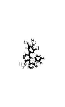 Nc1ncc(-c2cc(Cl)c(N)c(Cl)c2)cc1-c1nnnn1-c1cccc(F)c1F